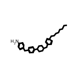 CCCCCCCCc1ccc(CC2CCC(c3ccc(Cc4ccc(N)cc4)cc3)CC2)cc1